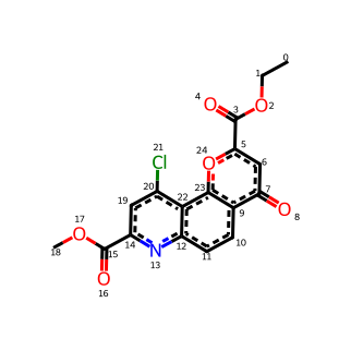 CCOC(=O)c1cc(=O)c2ccc3nc(C(=O)OC)cc(Cl)c3c2o1